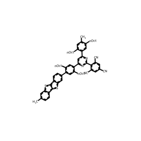 CCCCCCCCc1cc(-c2cc(-c3cc(CCCCCCCC)c(-c4ccc5c(c4)sc4c6ccc(C)cc6sc54)cc3CCCCCCCC)nc(-c3c(C#N)cc(C#N)cc3C#N)n2)c(CCCCCCCC)cc1C